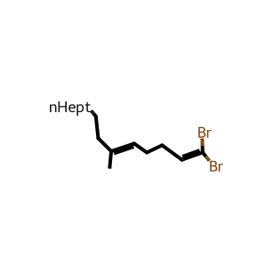 CCCCCCCCCC(C)=CCCC=C(Br)Br